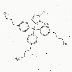 CCCCc1ccc([Si]([C]2C=CC(C)=C2C)(c2ccc(CCCC)cc2)c2ccc(CCCC)cc2)cc1